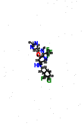 Cc1ncc(C(=O)N(C)C(c2ccc(NC3Cc4ccc(Cl)c(F)c4C3)cn2)C(F)(F)F)cn1